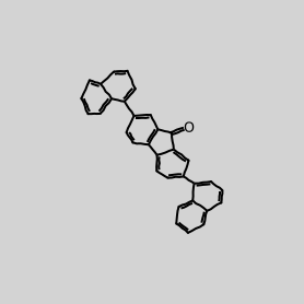 O=C1c2cc(-c3cccc4ccccc34)ccc2-c2ccc(-c3cccc4ccccc34)cc21